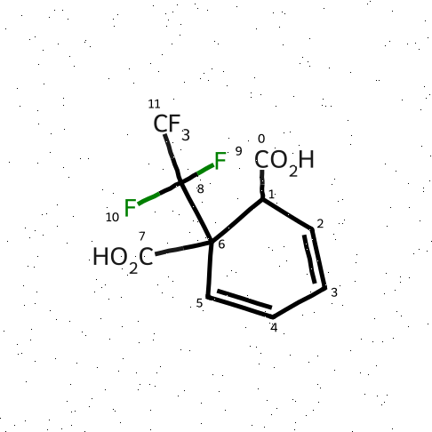 O=C(O)C1C=CC=CC1(C(=O)O)C(F)(F)C(F)(F)F